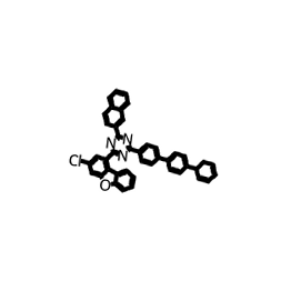 Clc1cc(-c2nc(-c3ccc(-c4ccc(C5C=CC=CC5)cc4)cc3)nc(-c3ccc4ccccc4c3)n2)c2c(c1)oc1ccccc12